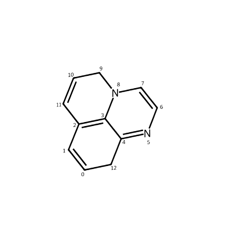 C1=CC2=C3C(=NC=CN3CC=C2)C1